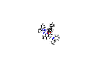 c1ccc(-c2cccc(-c3nc(-c4ccccc4-c4cc(-n5c6ccccc6c6ccccc65)cc5c4oc4ccccc45)nc(-n4c5ccccc5c5ccccc54)n3)c2)cc1